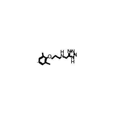 Cc1c[c]cc(C)c1OCCCNCc1nnn[nH]1